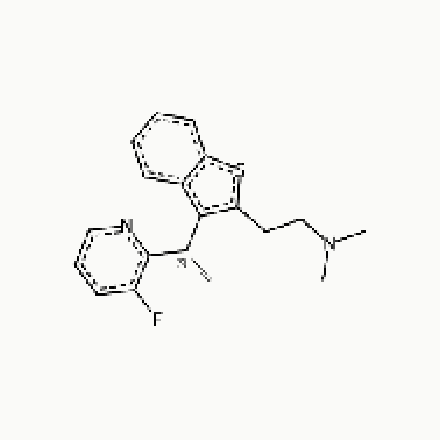 C[C@H](c1ncccc1F)c1c(CCN(C)C)sc2ccccc12